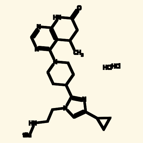 CC1CC(=O)Nc2ncnc(N3CCC(c4nc(C5CC5)cn4CCNC(C)(C)C)CC3)c21.Cl.Cl